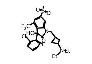 CCN(CC)C1CC(CN2C(=O)C(O)(c3c(F)cccc3Cl)c3c2cc(S(C)(=O)=O)cc3C(F)(F)F)C1